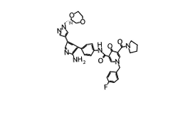 Nc1ncc(-c2cnn(C[C@H]3COCCO3)c2)cc1-c1ccc(NC(=O)c2cn(Cc3ccc(F)cc3)cc(C(=O)N3CCCC3)c2=O)cc1